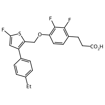 CCc1ccc(-c2cc(F)sc2COc2ccc(CCC(=O)O)c(F)c2F)cc1